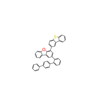 c1ccc(-c2ccc(-c3ccccc3-c3cc(-c4ccc5sc6ccccc6c5c4)c4oc5ccccc5c4c3)cc2)cc1